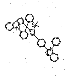 C[Si]1(C)c2ccccc2C2(c3ccccc3-n3c4ccccc4c4cccc2c43)c2ccc(-c3ccc(-c4nc5ccccc5n4-c4ccccc4)cc3)cc21